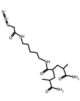 CC(CC(CC(C)C(N)=O)C(=O)NCCCCCNC(=O)CN=[N+]=[N-])C(N)=O